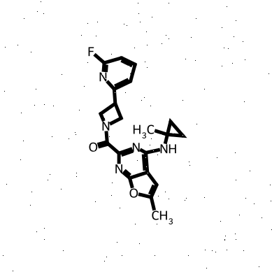 Cc1cc2c(NC3(C)CC3)nc(C(=O)N3CC(c4cccc(F)n4)C3)nc2o1